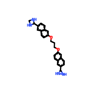 c1cc2cc(C3NCN3)ccc2cc1OCCCOc1ccc2cc(C3NN3)ccc2c1